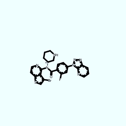 O=C(c1ccc(-n2nnc3cccnc32)cc1F)N(c1nccc2scc(Br)c12)[C@@H]1CCCNC1